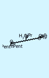 CCCCCC(CCCCC)CC(=O)OCCCCCCCCCCC(CCCCCCCCCCOC(=O)CC(CCCCC)CCCCC)CCN(C)C(C)C